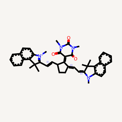 CN1C(=O)C(=C2/C(=C/C=C3/N(C)c4ccc5ccccc5c4C3(C)C)CCC2/C=C/C2=[N+](C)c3ccc4ccccc4c3C2(C)C)C(=O)N(C)C1=O